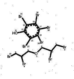 BrCC(Br)COCC(Br)CBr.Oc1c(Br)c(Br)c(Br)c(Br)c1Br